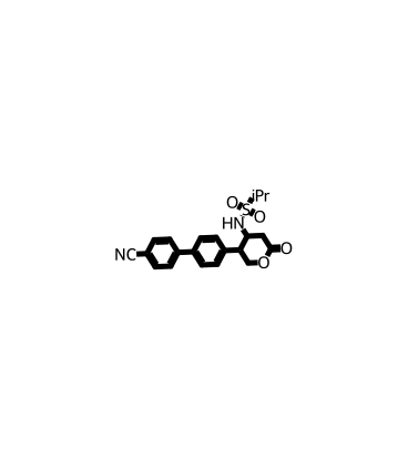 CC(C)S(=O)(=O)NC1CC(=O)OCC1c1ccc(-c2ccc(C#N)cc2)cc1